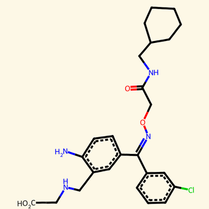 Nc1ccc(/C(=N\OCC(=O)NCC2CCCCC2)c2cccc(Cl)c2)cc1CNCC(=O)O